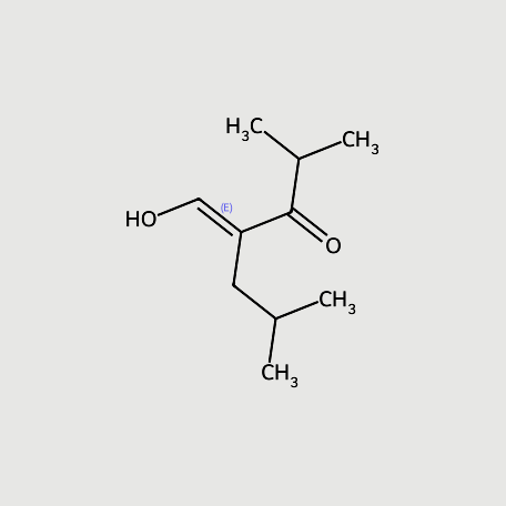 CC(C)C/C(=C\O)C(=O)C(C)C